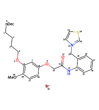 CCCCCCCCCCCCCCOc1cc(OCC(=O)Nc2ccccc2C[n+]2ccsc2)ccc1OC.[Br-]